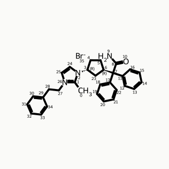 Cc1n([C@@H]2CC[C@@H](C(C(N)=O)(c3ccccc3)c3ccccc3)C2)cc[n+]1CCc1ccccc1.[Br-]